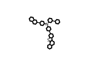 c1ccc(-c2cccc(N(c3ccc(-c4ccc5ccccc5c4)cc3)c3ccc(-c4ccc5c(c4)sc4c6ccccc6ccc54)cc3)c2)cc1